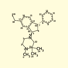 CN1CCN([C@@H]2C[C@@H](c3ccccc3)c3ccc(CI)cc32)CC1(C)C